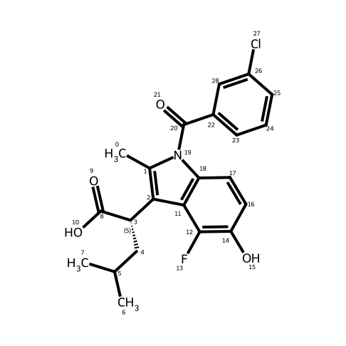 Cc1c([C@H](CC(C)C)C(=O)O)c2c(F)c(O)ccc2n1C(=O)c1cccc(Cl)c1